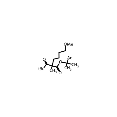 COCCCCC(C)(C(=O)OC(C)(C)C(C)=O)C(=O)C(C)(C)C